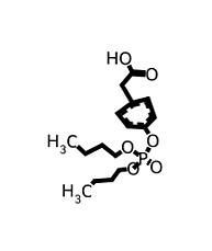 CCCCOP(=O)(OCCCC)Oc1ccc(CC(=O)O)cc1